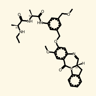 CCN[C@@H](C)C(=O)N[C@@H](C)C(=O)Nc1cc(COC)cc(COc2cc3c(cc2OC)C(=O)N2c4ccccc4C[C@H]2C=N3)c1